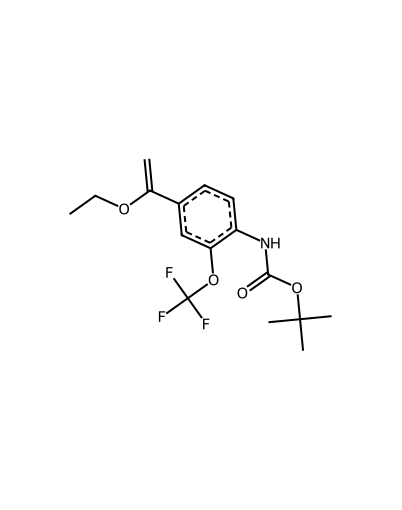 C=C(OCC)c1ccc(NC(=O)OC(C)(C)C)c(OC(F)(F)F)c1